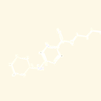 CCCCOC(=O)c1ccc(NC2CCCCC2)cn1